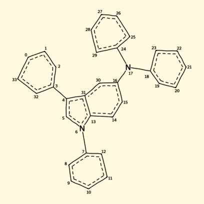 c1ccc(-c2cn(-c3ccccc3)c3ccc(N(c4ccccc4)c4ccccc4)cc23)cc1